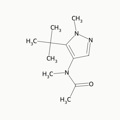 CC(=O)N(C)c1cnn(C)c1C(C)(C)C